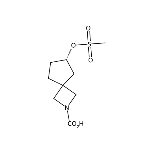 CS(=O)(=O)O[C@H]1CCC2(C1)CN(C(=O)O)C2